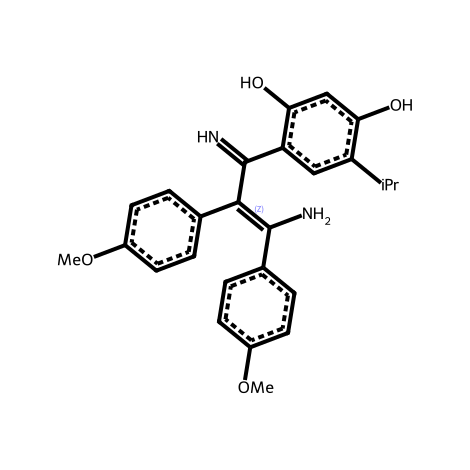 COc1ccc(/C(N)=C(/C(=N)c2cc(C(C)C)c(O)cc2O)c2ccc(OC)cc2)cc1